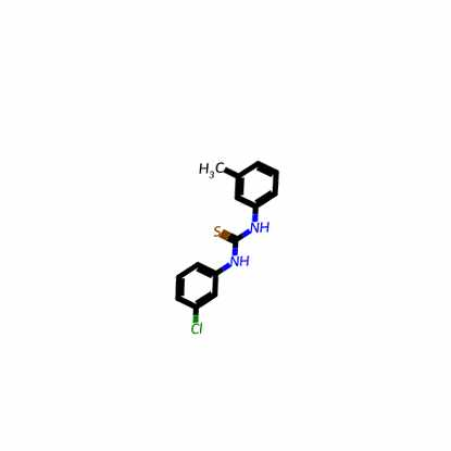 Cc1cccc(NC(=S)Nc2cccc(Cl)c2)c1